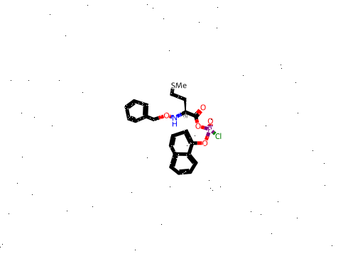 CSCC[C@H](NOCc1ccccc1)C(=O)OP(=O)(Cl)Oc1cccc2ccccc12